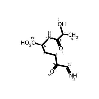 C[C@H](O)C(=O)N[C@@H](CCC(=O)C=N)C(=O)O